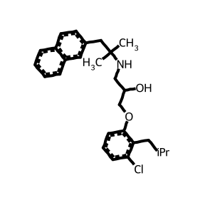 CC(C)Cc1c(Cl)cccc1OCC(O)CNC(C)(C)Cc1ccc2ccccc2c1